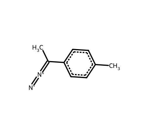 CC(=[N+]=[N-])c1ccc(C)cc1